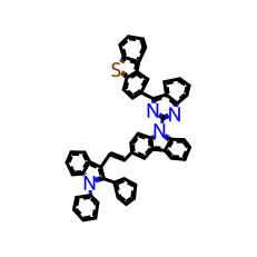 C(=C\c1c(-c2ccccc2)n(-c2ccccc2)c2ccccc12)/c1ccc2c(c1)c1ccccc1n2-c1nc(-c2ccc3sc4ccccc4c3c2)c2ccccc2n1